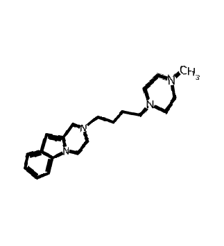 CN1CCN(CCCCN2CCn3c(cc4ccccc43)C2)CC1